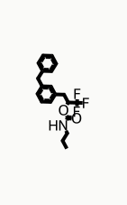 CCCNC(=O)OC(Cc1cccc(Cc2ccccc2)c1)C(F)(F)F